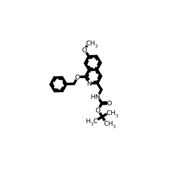 COc1ccc2cc(CNC(=O)OC(C)(C)C)nc(OCc3ccccc3)c2c1